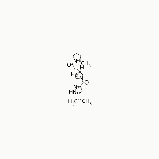 CC(C)c1cc(C(=O)N2C[C@@H]3C(C(=O)N4CCC[C@H]4C)[C@@H]3C2)n[nH]1